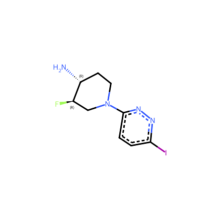 N[C@@H]1CCN(c2ccc(I)nn2)C[C@H]1F